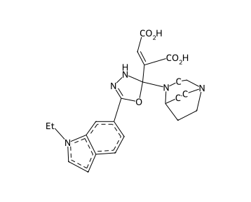 CCn1ccc2ccc(C3=NNC(C(=CC(=O)O)C(=O)O)(N4CCN5CCC4CC5)O3)cc21